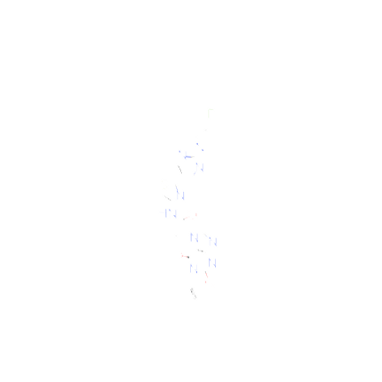 CC#CCn1c(=O)c2c(ncn2[C@@H](C)C(=O)Nc2csc(-c3cnc(N4CC5C(C4)C5(C)F)nc3)n2)n(C)c1=O